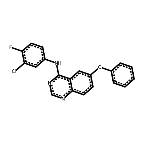 Fc1ccc(Nc2ncnc3ccc(Oc4ccccc4)cc23)cc1Cl